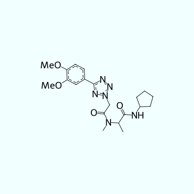 COc1ccc(-c2nnn(CC(=O)N(C)C(C)C(=O)NC3CCCC3)n2)cc1OC